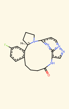 O=C1CCCc2ccc(F)cc2[C@H]2CCCN2c2ccn3ncc(c3n2)N1